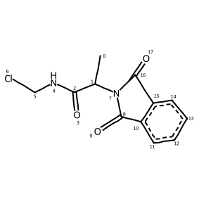 CC(C(=O)NCCl)N1C(=O)c2ccccc2C1=O